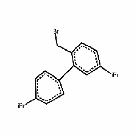 CC(C)c1ccc(-c2cc(C(C)C)ccc2CBr)cc1